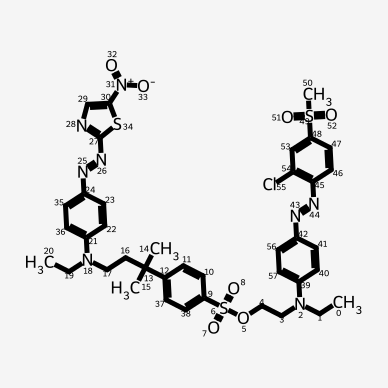 CCN(CCOS(=O)(=O)c1ccc(C(C)(C)CCN(CC)c2ccc(N=Nc3ncc([N+](=O)[O-])s3)cc2)cc1)c1ccc(N=Nc2ccc(S(C)(=O)=O)cc2Cl)cc1